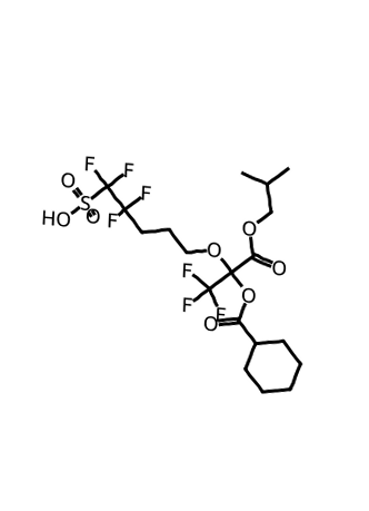 CC(C)COC(=O)C(OCCCC(F)(F)C(F)(F)S(=O)(=O)O)(OC(=O)C1CCCCC1)C(F)(F)F